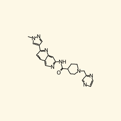 Cn1cc(-c2ccc3cnc(NC(=O)C4CCN(Cc5cnccn5)CC4)cc3n2)cn1